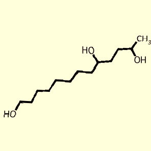 CC(O)CCC(O)CCCCCCCCO